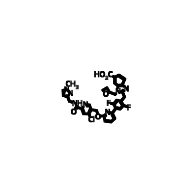 Cn1ccc(CNC(=O)c2cc(Cl)c(COc3cccc(-c4cc(F)c(Cc5nc6ccc(C(=O)O)cc6n5CC5CCO5)cc4F)n3)cn2)n1